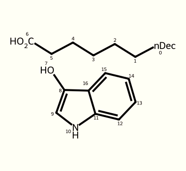 CCCCCCCCCCCCCCCC(=O)O.Oc1c[nH]c2ccccc12